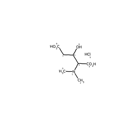 CN(C)C(C(=O)O)C(O)CC(=O)O.Cl